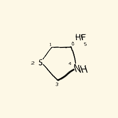 C1CSCN1.F